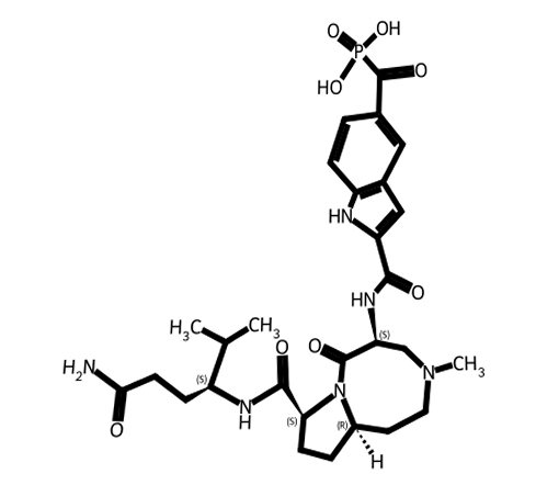 CC(C)[C@H](CCC(N)=O)NC(=O)[C@@H]1CC[C@@H]2CCN(C)C[C@H](NC(=O)c3cc4cc(C(=O)P(=O)(O)O)ccc4[nH]3)C(=O)N21